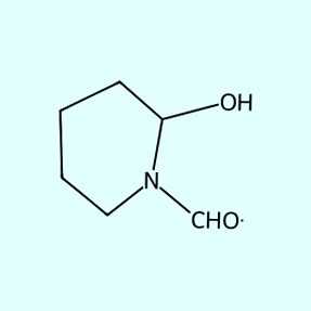 O=[C]N1CCCCC1O